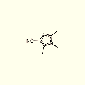 Cc1cc(C#N)c(C)n1C